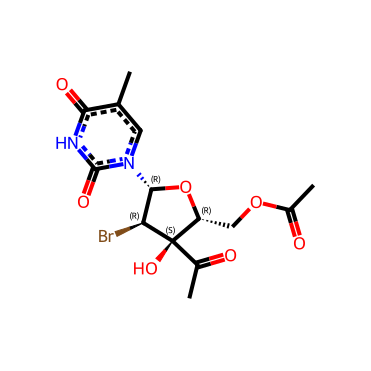 CC(=O)OC[C@H]1O[C@@H](n2cc(C)c(=O)[nH]c2=O)[C@H](Br)[C@@]1(O)C(C)=O